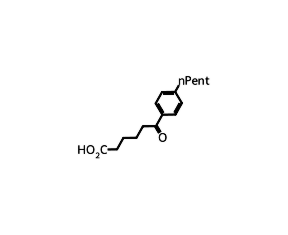 CCCCCc1ccc(C(=O)CCCCC(=O)O)cc1